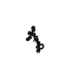 N=C1C=C(c2ccc3c(-c4ccc5ccccc5c4)c4ccccc4c(-c4ccc5ccccc5c4)c3c2)C=C/C1=N/Nc1ccc(-c2ccccccc(-c3cccnc3)c3ccccc23)cc1